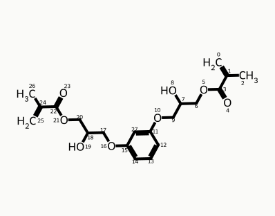 C=C(C)C(=O)OCC(O)COc1cccc(OCC(O)COC(=O)C(=C)C)c1